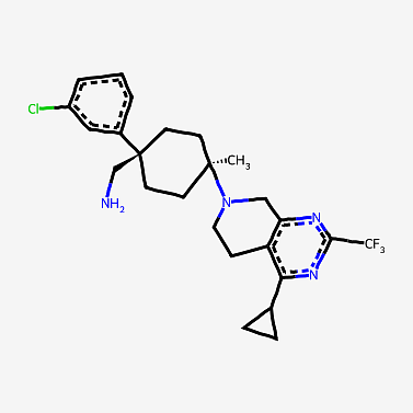 C[C@]1(N2CCc3c(nc(C(F)(F)F)nc3C3CC3)C2)CC[C@](CN)(c2cccc(Cl)c2)CC1